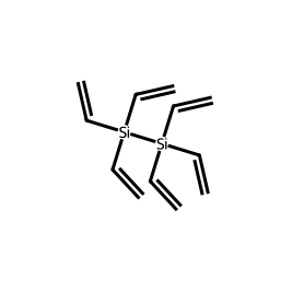 C=C[Si](C=C)(C=C)[Si](C=C)(C=C)C=C